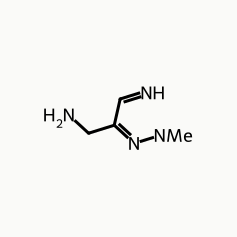 CN/N=C(\C=N)CN